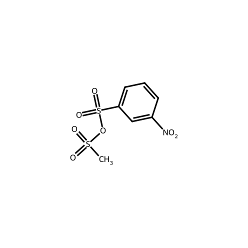 CS(=O)(=O)OS(=O)(=O)c1cccc([N+](=O)[O-])c1